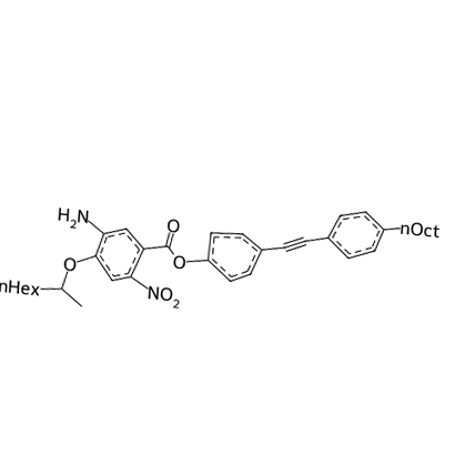 CCCCCCCCc1ccc(C#Cc2ccc(OC(=O)c3cc(N)c(OC(C)CCCCCC)cc3[N+](=O)[O-])cc2)cc1